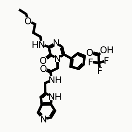 CCOCCCNc1ncc(-c2ccccc2)n(CC(=O)NCc2cc3cnccc3[nH]2)c1=O.O=C(O)C(F)(F)F